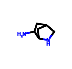 NC1CC2CNC1C2